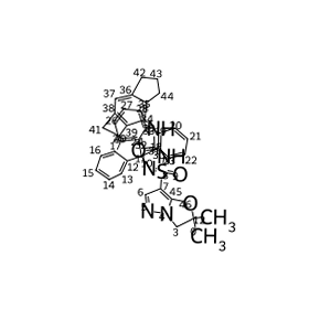 CC1(C)Cn2ncc(S(=O)(=NC(c3ccccc3)(c3ccccc3)c3ccccc3)NC(=O)Nc3c4c(cc5c3CC5)CCC4)c2O1